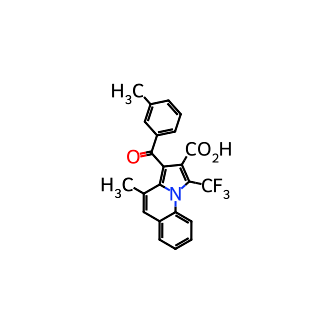 Cc1cccc(C(=O)c2c(C(=O)O)c(C(F)(F)F)n3c2c(C)cc2ccccc23)c1